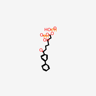 O=C(CCCCCC(O[PH](=O)O)O[PH](=O)O)c1ccc(-c2ccccc2)cc1